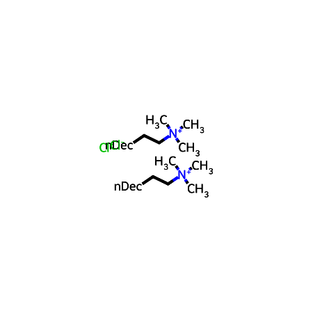 CCCCCCCCCCCC[N+](C)(C)C.CCCCCCCCCCCC[N+](C)(C)C.[Cl-].[Cl-]